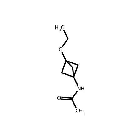 CCOC12CC(NC(C)=O)(C1)C2